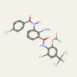 CCN(C(=O)c1ccc(C(F)(F)F)cc1)c1cccc(C(=O)Nc2c(Cl)cc(C(F)(C(F)(F)F)C(F)(F)F)cc2OC(F)F)c1OC